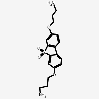 NCCCOc1ccc2c(c1)S(=O)(=O)c1cc(OCCCN)ccc1-2